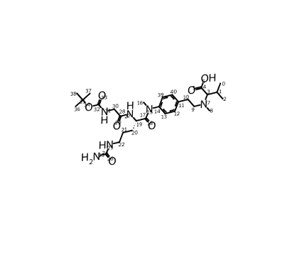 CC(C)C(C(=O)O)N(C)CCc1ccc(N(C)C(=O)[C@H](CCCNC(N)=O)NC(=O)CNC(=O)OC(C)(C)C)cc1